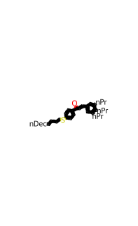 CCCCCCCCCCCCCCSc1ccc(C(=O)/C=C/c2cc(CCC)c(CCC)c(CCC)c2)cc1